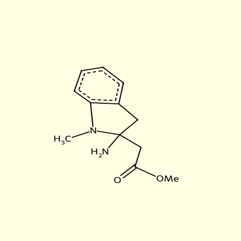 COC(=O)CC1(N)Cc2ccccc2N1C